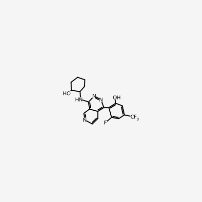 Oc1cc(C(F)(F)F)cc(F)c1-c1nnc(NC2CCCCC2O)c2cnccc12